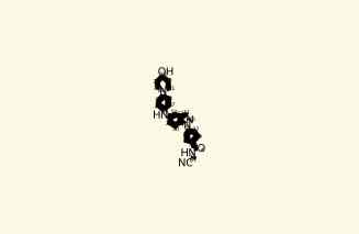 N#CCNC(=O)c1ccc(-n2ncc3cc(Nc4ccc(N5CCC(O)CC5)cc4)ccc32)cc1